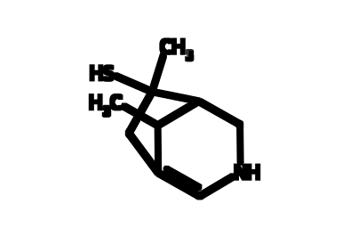 CC1C2=CNCC1C(C)(S)C2